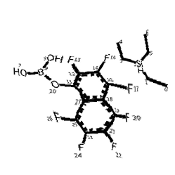 CC[SiH](CC)CC.OB(O)Oc1c(F)c(F)c(F)c2c(F)c(F)c(F)c(F)c12